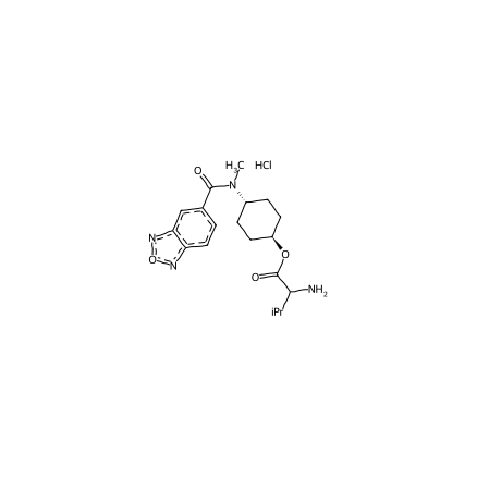 CC(C)C(N)C(=O)O[C@H]1CC[C@H](N(C)C(=O)c2ccc3nonc3c2)CC1.Cl